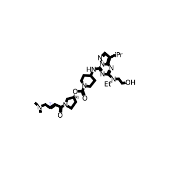 CCN(CCO)c1nc(NC2CCN(C(=O)O[C@@H]3CCN(C(=O)/C=C/CN(C)C)C3)CC2)n2ncc(C(C)C)c2n1